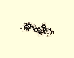 CC(c1ccccc1)[C@H](N[C@@H](C)C(=O)N1C(C(=O)O)CC2CC(NC(=O)c3ccc(Cl)c(S(N)(=O)=O)c3)CCC21)C(=O)O